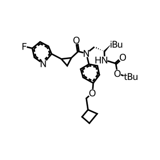 CC[C@H](C)[C@@H](CN(C(=O)C1CC1c1ccc(F)cn1)c1ccc(OCC2CCC2)cc1)NC(=O)OC(C)(C)C